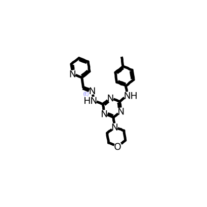 Cc1ccc(Nc2nc(N/N=C/c3ccccn3)nc(N3CCOCC3)n2)cc1